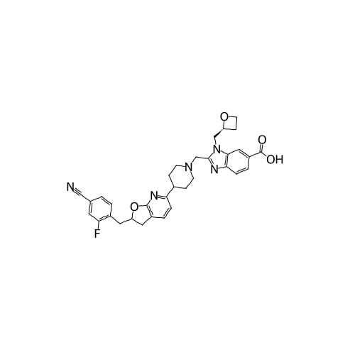 N#Cc1ccc(CC2Cc3ccc(C4CCN(Cc5nc6ccc(C(=O)O)cc6n5C[C@@H]5CCO5)CC4)nc3O2)c(F)c1